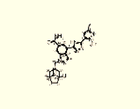 CCn1nc(C)cc1-c1nnc(-c2cc(C(N)=O)cc3c2cnn3C[C@@H]2C[C@H]3CC[C@@H](C2)N3)[nH]1